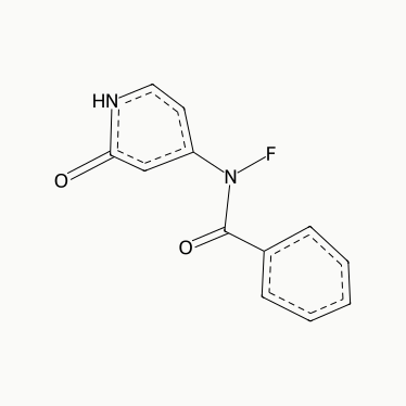 O=C(c1ccccc1)N(F)c1cc[nH]c(=O)c1